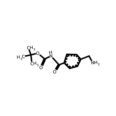 CC(C)(C)OC(=O)NC(=O)c1ccc(CN)cc1